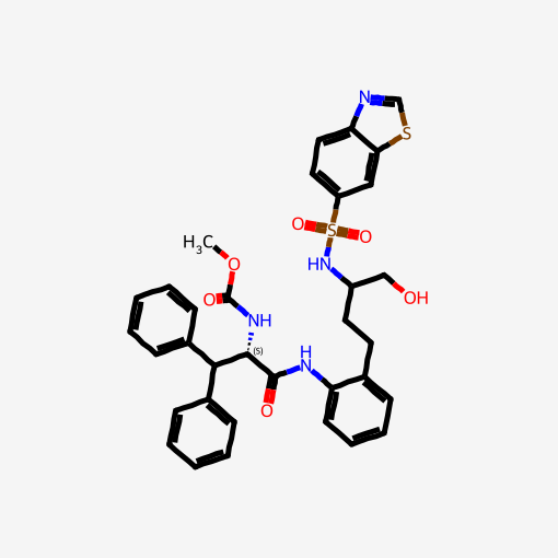 COC(=O)N[C@H](C(=O)Nc1ccccc1CCC(CO)NS(=O)(=O)c1ccc2ncsc2c1)C(c1ccccc1)c1ccccc1